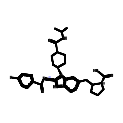 CC(C)NC(=O)[C@H]1CC[C@@H](n2/c(=N/C(=O)c3ccc(F)cc3)[nH]c3ccc(CN4CCC[C@@H]4C(=O)O)cc32)CC1